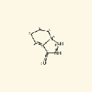 O=C1NNN2CCCC=C12